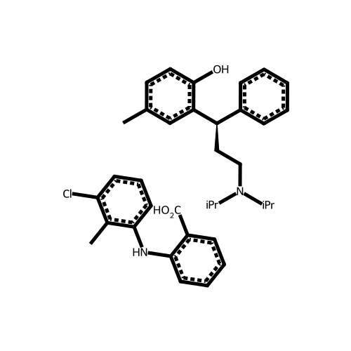 Cc1c(Cl)cccc1Nc1ccccc1C(=O)O.Cc1ccc(O)c([C@H](CCN(C(C)C)C(C)C)c2ccccc2)c1